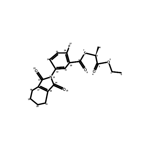 CCOC(=O)[C@H](C)SC(=O)c1cc(N2C(=O)C3=C(CCCC3)C2=O)ccc1F